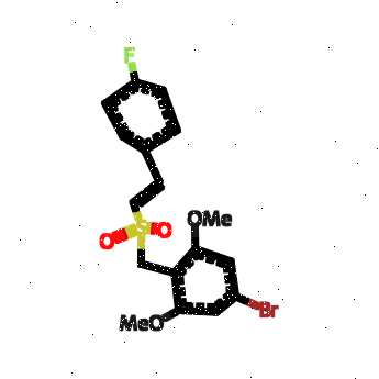 COc1cc(Br)cc(OC)c1CS(=O)(=O)C=Cc1ccc(F)cc1